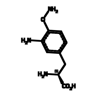 NOc1ccc(C[C@H](N)C(=O)O)cc1N